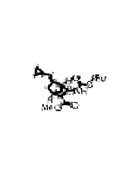 COC(=O)[C@H]1[C@@H]2CC(=CC3CC3)[C@@H](C2)[C@H]1NC(=O)OC(C)(C)C